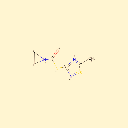 Cc1nc(SC(=O)N2CC2)ns1